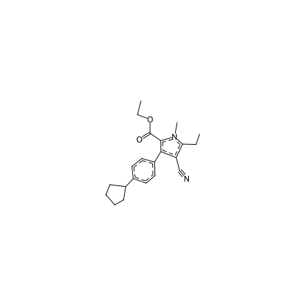 CCOC(=O)c1c(-c2ccc(C3CCCC3)cc2)c(C#N)c(CC)n1C